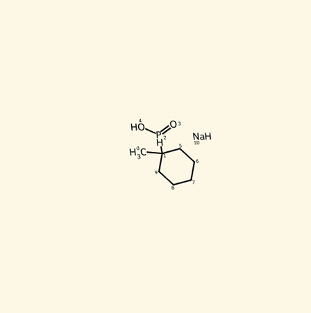 CC1([PH](=O)O)CCCCC1.[NaH]